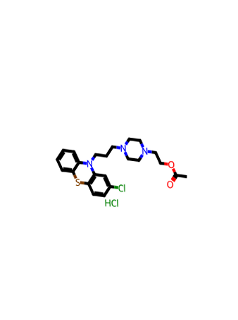 CC(=O)OCCN1CCN(CCCN2c3ccccc3Sc3ccc(Cl)cc32)CC1.Cl